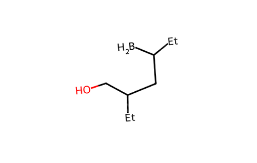 BC(CC)CC(CC)CO